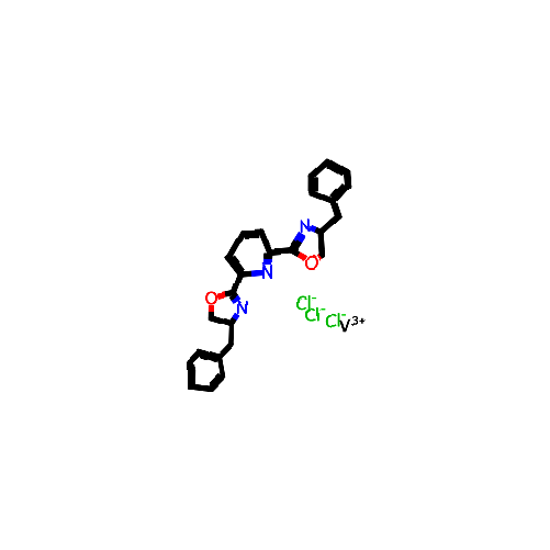 [Cl-].[Cl-].[Cl-].[V+3].c1ccc(CC2COC(c3cccc(C4=NC(Cc5ccccc5)CO4)n3)=N2)cc1